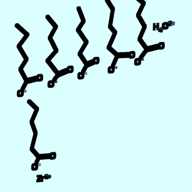 CCCCCC(=O)[O-].CCCCCC(=O)[O-].CCCCCC(=O)[O-].CCCCCC(=O)[O-].CCCCCC(=O)[O-].CCCCCC(=O)[O-].[OH4+2].[Zr+4]